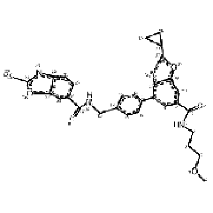 COCCCNC(=O)c1cc(-c2ccc(CNC(=O)c3ccc4nc(S)oc4c3)cc2)c2nc(C3CC3)oc2c1